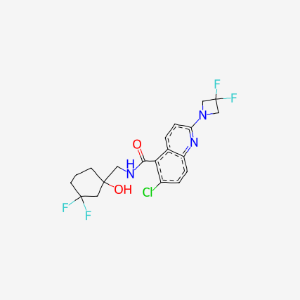 O=C(NCC1(O)CCCC(F)(F)C1)c1c(Cl)ccc2nc(N3CC(F)(F)C3)ccc12